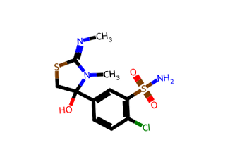 CN=C1SCC(O)(c2ccc(Cl)c(S(N)(=O)=O)c2)N1C